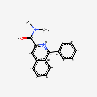 CC(C)N(C)C(=O)c1cc2ccccc2c(-c2ccccc2)n1